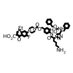 CCn1cc(C(=O)O)c(=O)c2cc(F)c(N3CCN(C(=O)OCc4ccc(NC(=O)C(CCCCN)n5cc([C@H](Cc6ccccc6)NC(=O)OCc6ccccc6)nn5)cc4)CC3)cc21